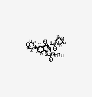 CC(C)(C)OC(=O)Cc1nn(CC(=O)N2CCOCC2)c(=O)c2cc(N3CCOCC3)ccc12